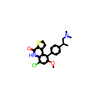 COc1cc(Cl)c2[nH]c(=O)c3sccc3c2c1-c1ccc(C(C)CN(C)C)cc1